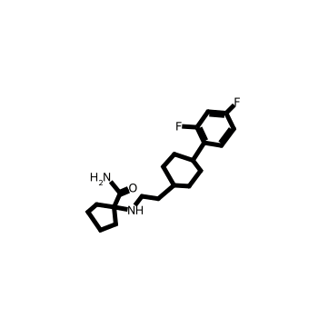 NC(=O)C1(NCCC2CCC(c3ccc(F)cc3F)CC2)CCCC1